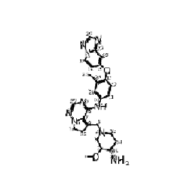 COC1CN(CC2=C3C(Nc4ccc(Oc5ccn6ncnc6c5)c(C)c4)=NC=NN3CC2)CC[C@@H]1N